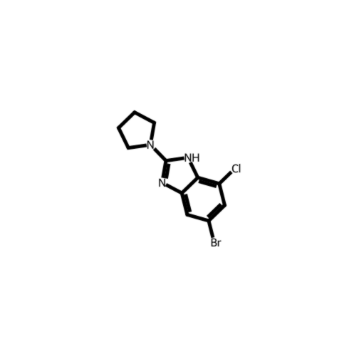 Clc1cc(Br)cc2nc(N3CCCC3)[nH]c12